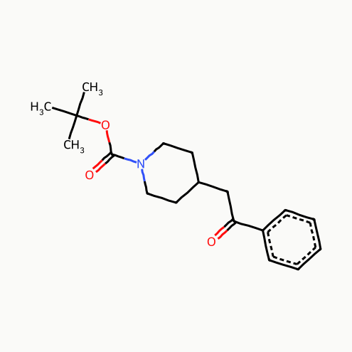 CC(C)(C)OC(=O)N1CCC(CC(=O)c2ccccc2)CC1